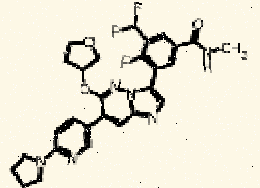 CNC(=O)c1cc(-c2cnc3cc(-c4ccc(N5CCCC5)nc4)c(O[C@H]4CCOC4)nn23)c(F)c(C(F)F)c1